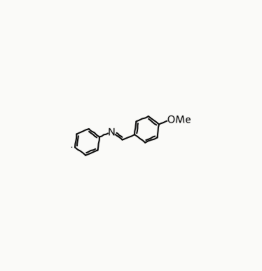 COc1ccc(C=Nc2cc[c]cc2)cc1